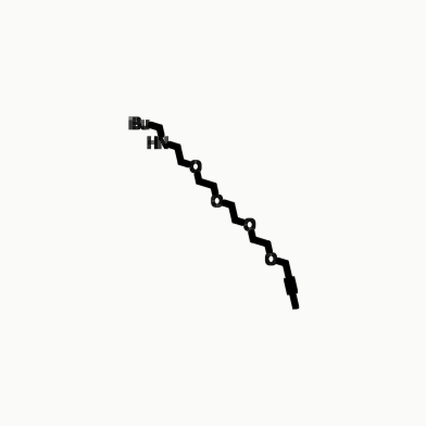 CC#CCOCCOCCOCCOCCNCC(C)CC